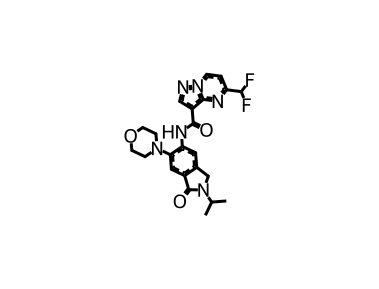 CC(C)N1Cc2cc(NC(=O)c3cnn4ccc(C(F)F)nc34)c(N3CCOCC3)cc2C1=O